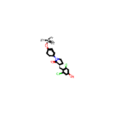 CC(C)[Si](OC1CCC(N2CC[C@H](Cc3c(Cl)cc(O)cc3Cl)C2=O)CC1)(C(C)C)C(C)C